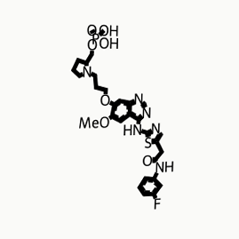 COc1cc2c(Nc3ncc(CC(=O)Nc4cccc(F)c4)s3)ncnc2cc1OCCCN1CCCC1COP(=O)(O)O